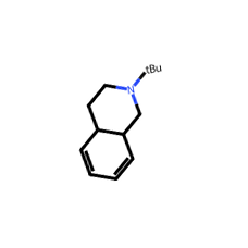 CC(C)(C)N1CCC2C=CC=CC2C1